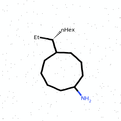 CCCCCC[C@@H](CC)C1CCCCC(N)CCC1